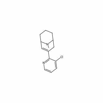 CN1C2C=C(c3ncccc3Cl)CC1CCC2